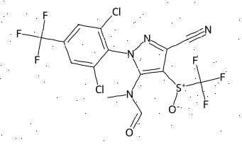 CN(C=O)c1c([S+]([O-])C(F)(F)F)c(C#N)nn1-c1c(Cl)cc(C(F)(F)F)cc1Cl